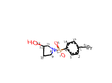 CC(C)c1ccc(S(=O)(=O)N2CCC(O)C2)cc1